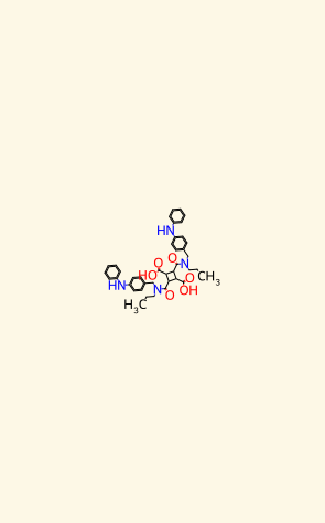 CCCN(Cc1ccc(Nc2ccccc2)cc1)C(=O)C1C(C(=O)O)C(C(=O)N(CCC)Cc2ccc(Nc3ccccc3)cc2)C1C(=O)O